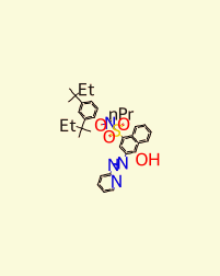 CCCN(Oc1ccc(C(C)(C)CC)cc1C(C)(C)CC)S(=O)(=O)c1cc(N=Nc2ccccn2)c(O)c2ccccc12